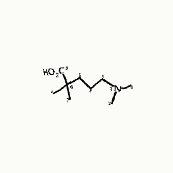 CN(C)CCCC(C)(C)C(=O)O